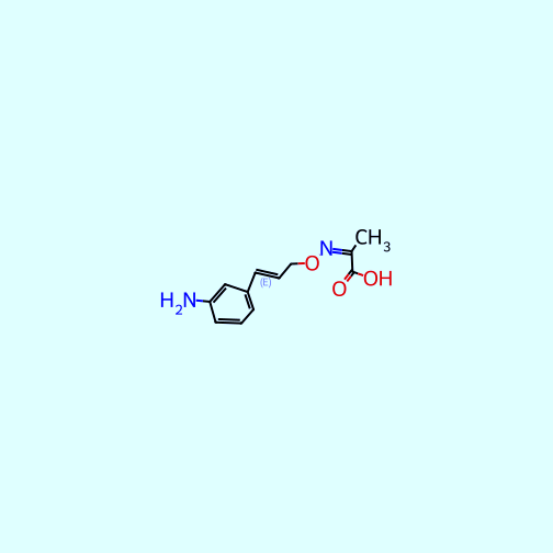 CC(=NOC/C=C/c1cccc(N)c1)C(=O)O